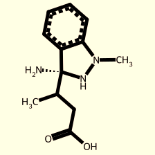 CC(CC(=O)O)[C@]1(N)NN(C)c2ccccc21